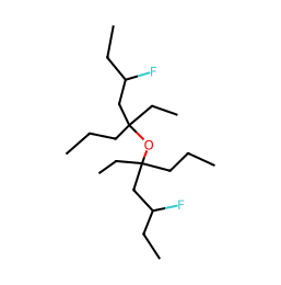 CCCC(CC)(CC(F)CC)OC(CC)(CCC)CC(F)CC